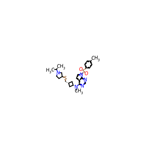 Cc1ccc(S(=O)(=O)n2ccc3c(N(C)[C@H]4C[C@@H](CSC5CCN(C(C)C)C5)C4)ncnc32)cc1